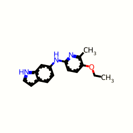 CCOc1ccc(Nc2ccc3cc[nH]c3c2)nc1C